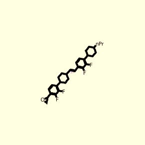 CCCC1CCC(c2ccc(/C=C/C3CCC(c4ccc(C5CO5)c(F)c4F)CC3)c(F)c2F)CC1